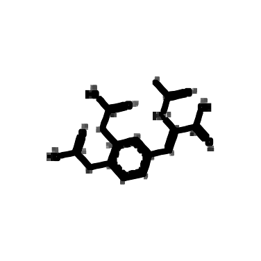 CC(=O)N/C(=C\c1ccc(CC(=O)O)c(CC(=O)O)c1)C(=O)O